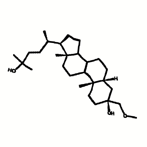 COC[C@]1(O)CC[C@]2(C)C3CC[C@@]4(C)C(CC[C@@H]4[C@H](C)CCC(C)(C)O)C3CC[C@@H]2C1